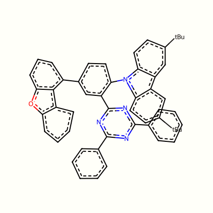 CC(C)(C)c1ccc2c(c1)c1cc(C(C)(C)C)ccc1n2-c1ccc(-c2cccc3oc4ccccc4c23)cc1-c1nc(-c2ccccc2)nc(-c2ccccc2)n1